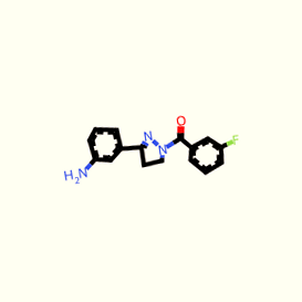 Nc1cccc(C2=NN(C(=O)c3cccc(F)c3)CC2)c1